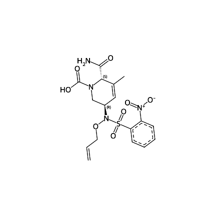 C=CCON([C@@H]1C=C(C)[C@@H](C(N)=O)N(C(=O)O)C1)S(=O)(=O)c1ccccc1[N+](=O)[O-]